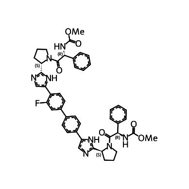 COC(=O)N[C@@H](C(=O)N1CCC[C@H]1c1ncc(-c2ccc(-c3ccc(-c4cnc([C@@H]5CCCN5C(=O)[C@H](NC(=O)OC)c5ccccc5)[nH]4)c(F)c3)cc2)[nH]1)c1ccccc1